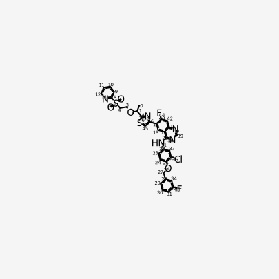 CC(OCCS(=O)(=O)c1ccccn1)c1nc(-c2cc3c(Nc4ccc(OCc5cccc(F)c5)c(Cl)c4)ncnc3cc2F)cs1